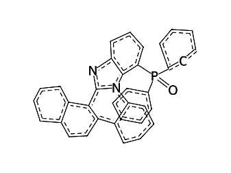 O=P(c1ccccc1)(c1ccccc1)c1cccc2nc3c4c5ccccc5ccc4c4ccccc4n3c12